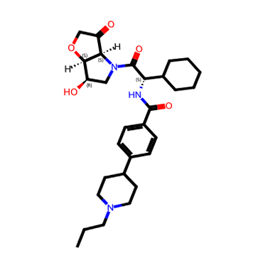 CCCN1CCC(c2ccc(C(=O)N[C@H](C(=O)N3C[C@@H](O)[C@H]4OCC(=O)[C@H]43)C3CCCCC3)cc2)CC1